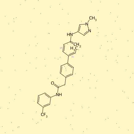 C=C(/C=C\C(=C/C)c1ccc(CC(=O)Nc2cccc(C(F)(F)F)c2)cc1)Nc1cnn(C)c1